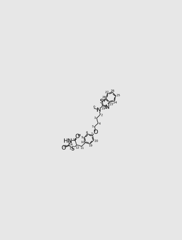 CN(CCCCOc1ccc(CC2SC(=O)NC2=O)cc1)c1nc2ccccc2s1